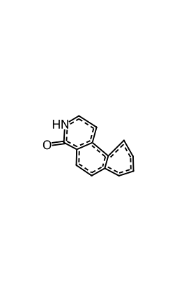 O=c1[nH]ccc2c1ccc1ccccc12